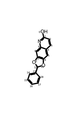 Oc1ccc2cc3c(cc2n1)OC(c1ccccc1)O3